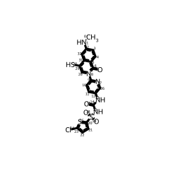 CNc1ccc2c(=O)n(-c3ccc(NC(=O)NS(=O)(=O)c4ccc(Cl)s4)cn3)cc(S)c2c1